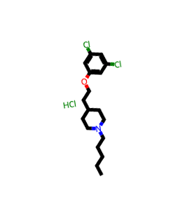 CCCCCN1CCC(CCOc2cc(Cl)cc(Cl)c2)CC1.Cl